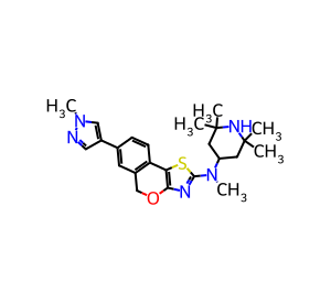 CN(c1nc2c(s1)-c1ccc(-c3cnn(C)c3)cc1CO2)C1CC(C)(C)NC(C)(C)C1